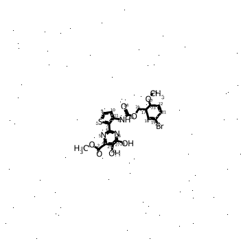 COC(=O)c1nc(-c2sccc2NC(=O)OCC2C=C(Br)C=CC2OC)nc(O)c1O